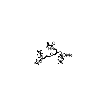 C=C(C)C(=O)NCC(COCCC[Si](C)(O[Si](C)(C)C)O[Si](C)(C)C)O[Si](C)(OC)O[Si](C)(C)C